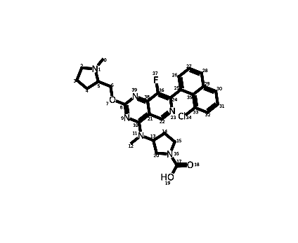 CN1CCCC1COc1nc(N(C)C2CCN(C(=O)O)C2)c2cnc(-c3cccc4cccc(Cl)c34)c(F)c2n1